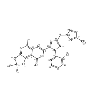 Cc1cc2c(c3c(=O)oc(-c4cc(Cn5ncc(C(F)(F)F)n5)nn4-c4ncccc4Cl)nc13)OC(F)(F)O2